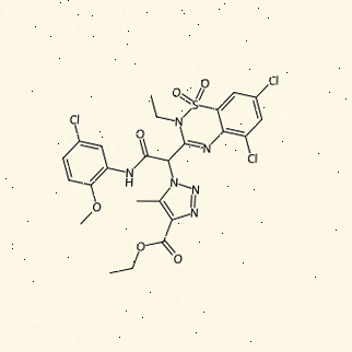 CCOC(=O)c1nnn(C(C(=O)Nc2cc(Cl)ccc2OC)C2=Nc3c(Cl)cc(Cl)cc3S(=O)(=O)N2CC)c1C